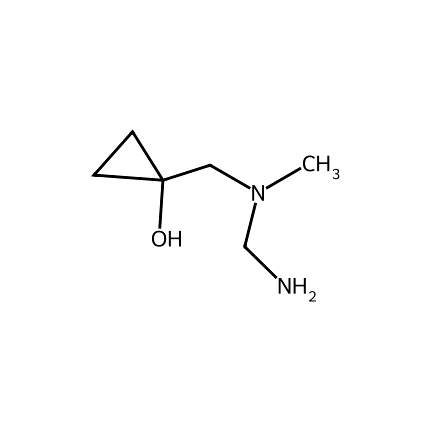 CN(CN)CC1(O)CC1